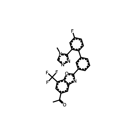 CC(=O)c1cc(C(F)(F)F)c2oc(-c3cccc(-c4ccc(F)cc4-c4nncn4C)c3)nc2c1